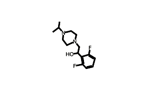 CC(C)N1CCN(CC(O)c2c(F)cccc2F)CC1